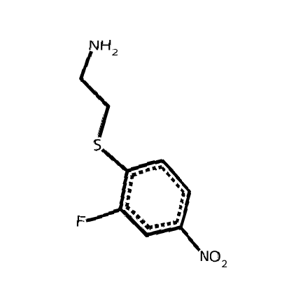 NCCSc1ccc([N+](=O)[O-])cc1F